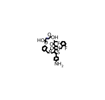 CC(C)C(=O)c1cn(Cc2c(F)cccc2F)c2sc(-c3ccc(N)cc3)c(CN(C)Cc3ccccc3)c2c1=O.O=C(O)/C=C/C(=O)O